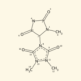 CN1C(=O)[N]C(=O)C1n1c(=O)n(C)n(C)c1=O